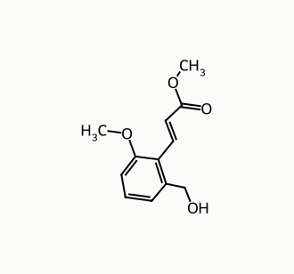 COC(=O)C=Cc1c(CO)cccc1OC